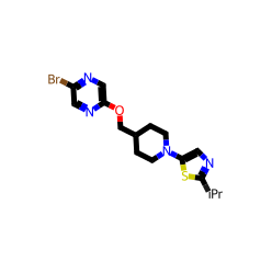 CC(C)c1ncc(N2CCC(COc3cnc(Br)cn3)CC2)s1